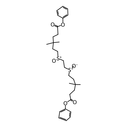 CC(C)(CCC(=O)Oc1ccccc1)CC[S+]([O-])CC[S+]([O-])CCC(C)(C)CCC(=O)Oc1ccccc1